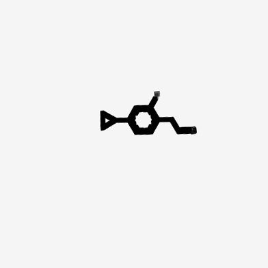 O=CCc1ccc(C2CC2)cc1F